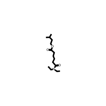 CCN(CC)C(=O)CCCCC(=O)OCCC(C)C